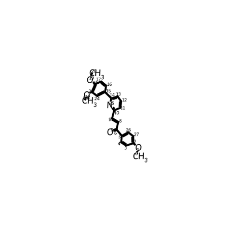 COc1ccc(C(=O)C=Cc2cccc(-c3ccc(OC)c(OC)c3)n2)cc1